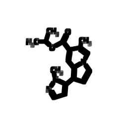 Cc1cn2ccc(-c3ccnn3C)c2cc1C(=O)OC(C)C